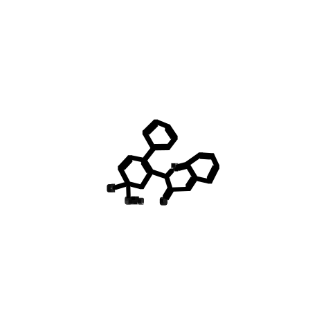 COC1(Cl)C=CC(c2ccccc2)=C(C2N=c3ccccc3=CC2=O)C1